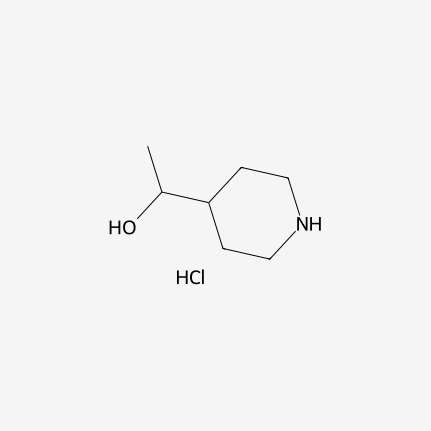 CC(O)C1CCNCC1.Cl